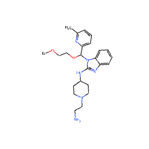 CCOCCOC(c1cccc(C)n1)n1c(NC2CCN(CCN)CC2)nc2ccccc21